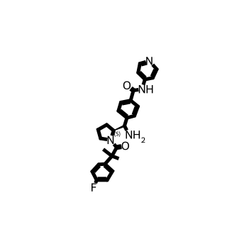 CC(C)(C(=O)N1CCC[C@H]1C(N)c1ccc(C(=O)Nc2ccncc2)cc1)c1ccc(F)cc1